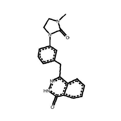 CN1CCN(c2cccc(Cc3n[nH]c(=O)c4ccccc34)c2)C1=O